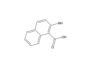 [NH]c1ccc2ccccc2c1C(=O)O